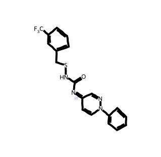 O=C(/N=c1/ccn(-c2ccccc2)nc1)NSCc1cccc(C(F)(F)F)c1